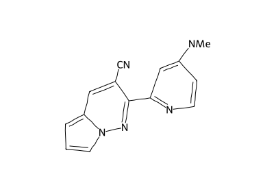 CNc1ccnc(-c2nn3cccc3cc2C#N)c1